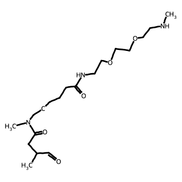 CNCCOCCOCCNC(=O)CCCCCN(C)C(=O)CC(C)C=O